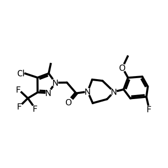 COc1ccc(F)cc1N1CCN(C(=O)Cn2nc(C(F)(F)F)c(Cl)c2C)CC1